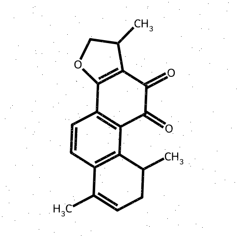 CC1=CCC(C)c2c1ccc1c2C(=O)C(=O)C2=C1OCC2C